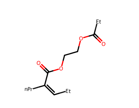 CCC=C(CCC)C(=O)OCCOC(=O)CC